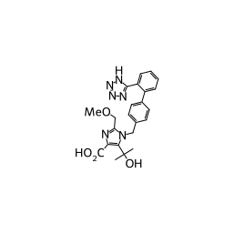 COCc1nc(C(=O)O)c(C(C)(C)O)n1Cc1ccc(-c2ccccc2-c2nnn[nH]2)cc1